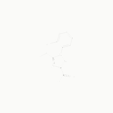 CCc1nc(C(=O)O)nn1-c1ccccc1F